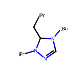 CC(C)CC1N(C(C)C)N=CN1C(C)(C)C